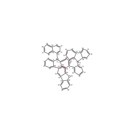 c1ccc(N(c2ccc(-c3ccccc3-n3c4ccccc4c4ccccc43)cc2)c2cccc3ccccc23)c(-c2ccc3oc4ccccc4c3c2)c1